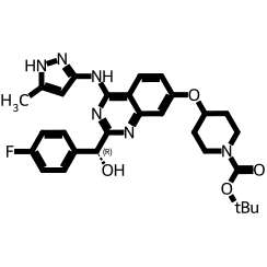 Cc1cc(Nc2nc([C@H](O)c3ccc(F)cc3)nc3cc(OC4CCN(C(=O)OC(C)(C)C)CC4)ccc23)n[nH]1